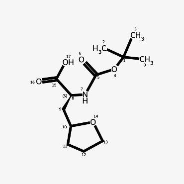 CC(C)(C)OC(=O)N[C@@H](CC1CCCO1)C(=O)O